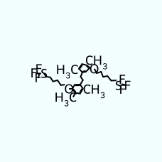 Cc1cc(C)c(OCCCCCCSC(F)(F)F)cc1CCc1cc(OCCCCCCSC(F)(F)F)c(C)cc1C